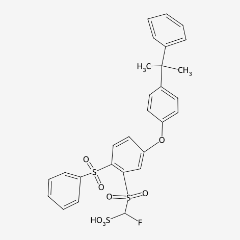 CC(C)(c1ccccc1)c1ccc(Oc2ccc(S(=O)(=O)c3ccccc3)c(S(=O)(=O)C(F)S(=O)(=O)O)c2)cc1